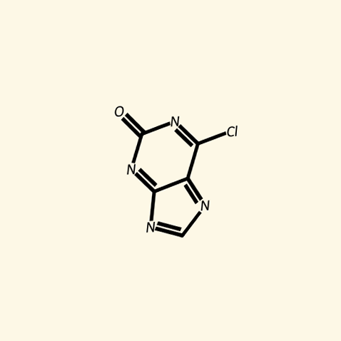 O=C1N=C(Cl)C2=NC=NC2=N1